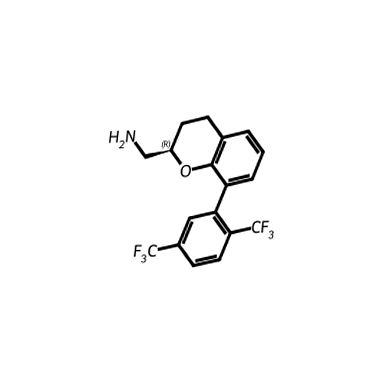 NC[C@H]1CCc2cccc(-c3cc(C(F)(F)F)ccc3C(F)(F)F)c2O1